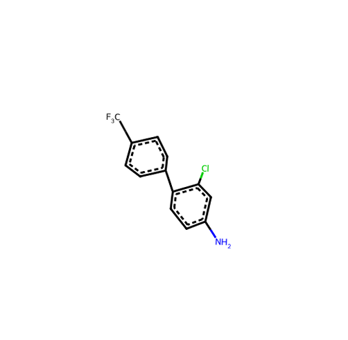 Nc1ccc(-c2ccc(C(F)(F)F)cc2)c(Cl)c1